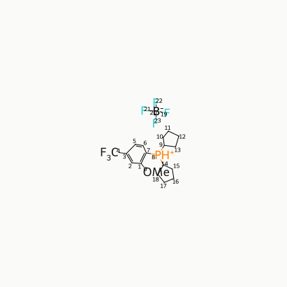 COc1cc(C(F)(F)F)ccc1[PH+](C1CCCC1)C1CCCC1.F[B-](F)(F)F